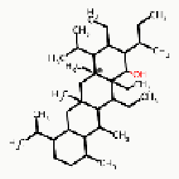 CCC(C)C1C(CC)C(C(C)C)[C@@]2(C)CC3(C)CC4C(C(C)C)CCC(C)C4C(C)C3C(CC)C2(CC)C1O